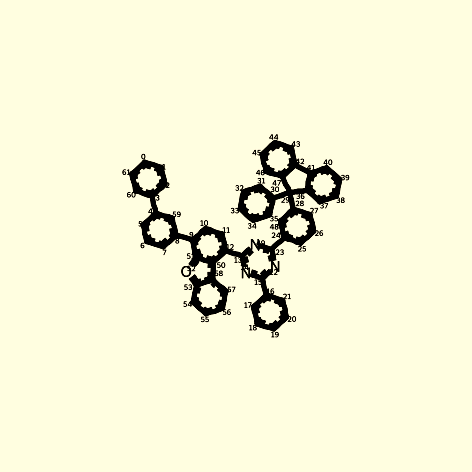 c1ccc(-c2cccc(-c3ccc(-c4nc(-c5ccccc5)nc(-c5cccc(C6(c7ccccc7)c7ccccc7-c7ccccc76)c5)n4)c4c3oc3ccccc34)c2)cc1